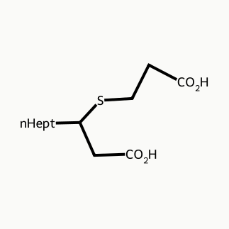 CCCCCCCC(CC(=O)O)SCCC(=O)O